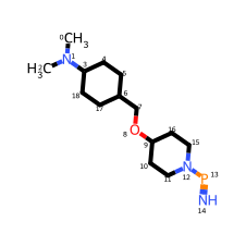 CN(C)C1CCC(COC2CCN(P=N)CC2)CC1